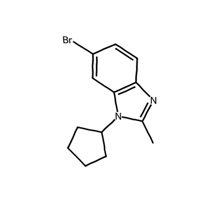 Cc1nc2ccc(Br)cc2n1C1CCCC1